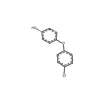 Oc1ccc(Oc2ccc(Cl)cc2)cc1